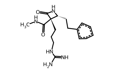 CNC(=O)[C@]1(CCCNC(=N)N)C(=O)N[C@@H]1CCc1ccccc1